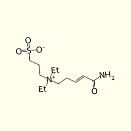 CC[N+](CC)(CCC=CC(N)=O)CCCS(=O)(=O)[O-]